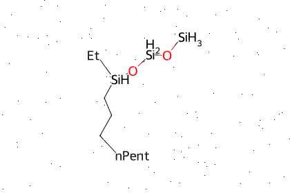 CCCCCCCC[SiH](CC)O[SiH2]O[SiH3]